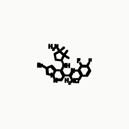 CC1(C)[C@H](Nc2c(C(N)=Nc3c(Cl)ccc(F)c3F)cnn3cc(Br)cc23)CC[C@]1(C)N